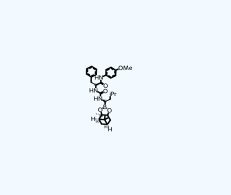 COc1ccc(NC(=O)[C@H](Cc2ccccc2)NC(=O)N[C@@H](CC(C)C)B2OC3C[C@H]4C[C@H](C4(C)C)[C@@]3(C)O2)cc1